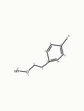 CCCOCCc1ccc(I)cc1